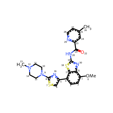 COc1ccc(-c2csc(N3CCN(C)CC3)n2)c2sc(NC(=O)c3cc(C)ccn3)nc12